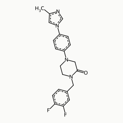 Cc1cn(-c2ccc(N3CCN(Cc4ccc(F)c(F)c4)C(=O)C3)cc2)cn1